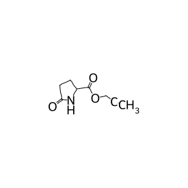 CCCOC(=O)C1CCC(=O)N1